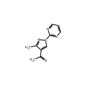 CC(=O)c1cn(-c2ncccn2)nc1C